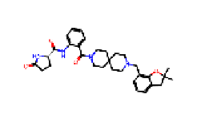 CC1(C)Cc2cccc(CN3CCC4(CC3)CCN(C(=O)c3ccccc3NC(=O)[C@@H]3CCC(=O)N3)CC4)c2O1